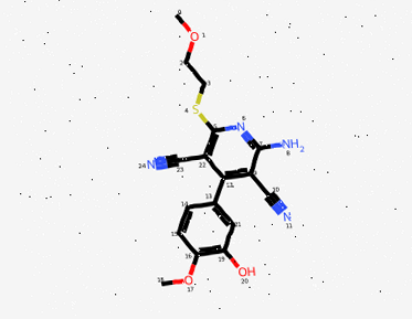 COCCSc1nc(N)c(C#N)c(-c2ccc(OC)c(O)c2)c1C#N